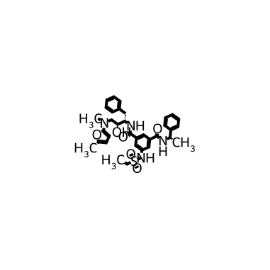 CCS(=O)(=O)Nc1cc(C(=O)N[C@@H](Cc2ccccc2)[C@H](O)CN(C)c2ccc(C)o2)cc(C(=O)N[C@H](C)c2ccccc2)c1